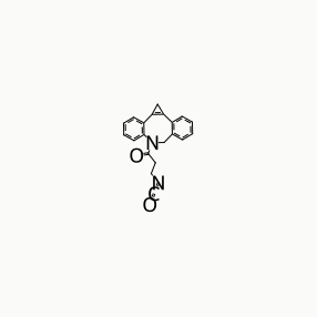 O=C=NCCC(=O)N1Cc2ccccc2C2=C(C2)c2ccccc21